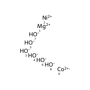 [Co+2].[Mg+2].[Ni+2].[OH-].[OH-].[OH-].[OH-].[OH-].[OH-]